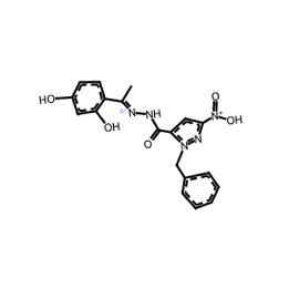 C/C(=N\NC(=O)c1cc([N+](=O)O)nn1Cc1ccccc1)c1ccc(O)cc1O